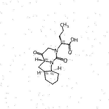 CCC[C@@H](C(=O)O)N1CC(=O)[C@H]2C[C@@H]3CCCC[C@@H]3N2C1=O